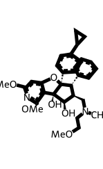 COCCN(C)C[C@H]1[C@@H](O)[C@@]2(O)c3c(cc(OC)nc3OC)O[C@@]2(c2ccc(C3CC3)cc2)[C@@H]1c1ccccc1